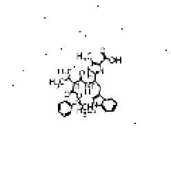 Cc1[nH]c([C@@H](Cc2cn(C)c3ccccc23)NC(=O)[C@@H](C(=O)ON(C)c2ccccc2)C(C)C)nc1C(=O)O